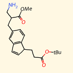 COC(=O)C(CN)Cc1ccc2c(c1)C=CC2CCC(=O)OC(C)(C)C